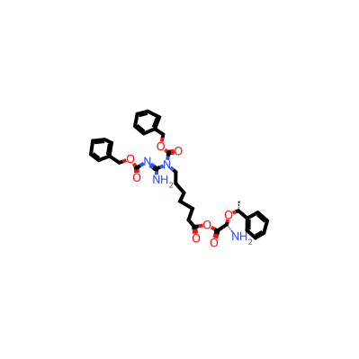 C[C@@H](O[C@H](N)C(=O)OC(=O)CCCCCCN(C(=O)OCc1ccccc1)C(N)=NC(=O)OCc1ccccc1)c1ccccc1